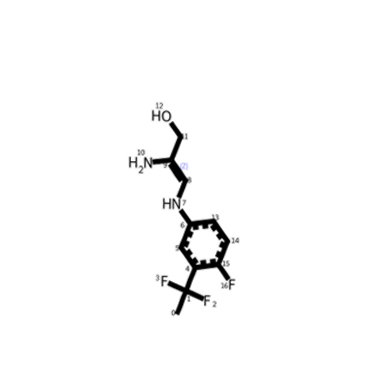 CC(F)(F)c1cc(N/C=C(\N)CO)ccc1F